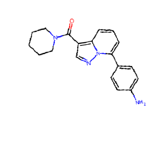 Nc1ccc(-c2cccc3c(C(=O)N4CCCCC4)cnn23)cc1